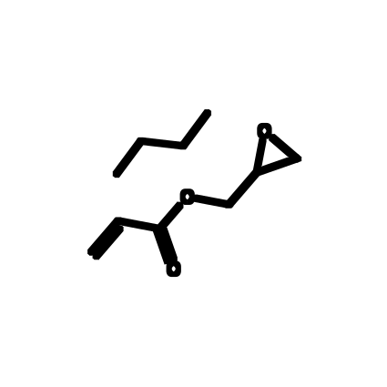 C=CC(=O)OCC1CO1.CCCC